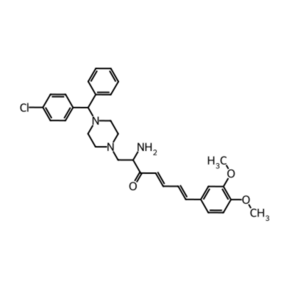 COc1ccc(C=CC=CC(=O)C(N)CN2CCN(C(c3ccccc3)c3ccc(Cl)cc3)CC2)cc1OC